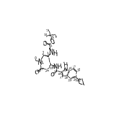 CN1CC(NC(=O)OC(C)(C)C)C(NC(=O)c2cc3cc(Cl)ccc3[nH]2)CC1=O